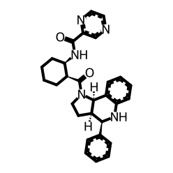 O=C(N[C@@H]1CCCC[C@@H]1C(=O)N1CC[C@@H]2[C@H](c3ccccc3)Nc3ccccc3[C@@H]21)c1cnccn1